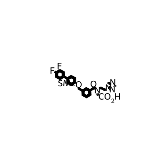 CSc1cc(F)c(F)cc1-c1ccc(OCc2cccc(C(=O)N(CCn3cncn3)CC(=O)O)c2)cc1